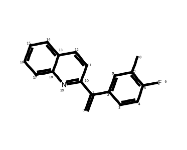 C=C(c1ccc(F)c(C)c1)c1ccc2ccccc2n1